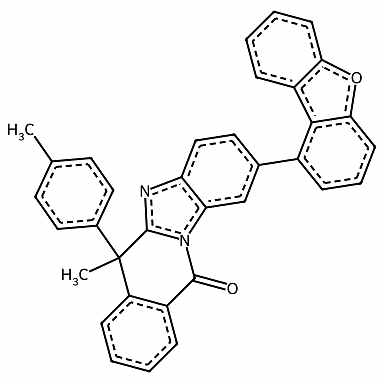 Cc1ccc(C2(C)c3ccccc3C(=O)n3c2nc2ccc(-c4cccc5oc6ccccc6c45)cc23)cc1